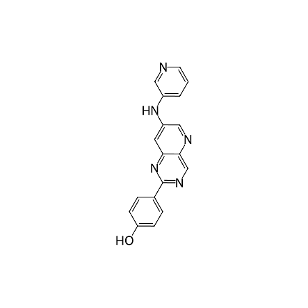 Oc1ccc(-c2ncc3ncc(Nc4cccnc4)cc3n2)cc1